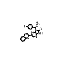 CC(c1ccc(F)cc1)n1c(=O)[nH]c2ncc(-c3ccc4ccccc4n3)nc21